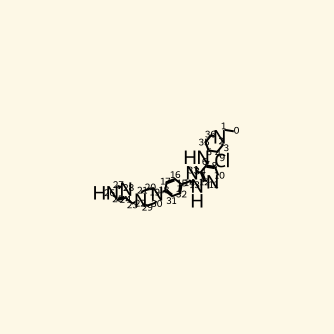 CCN1CCC(Nc2c(Cl)cnc3[nH]c(-c4ccc(N5CCN(Cc6c[nH]cn6)CC5)cc4)nc23)CC1